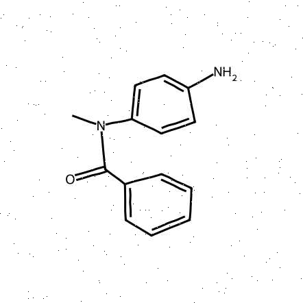 CN(C(=O)c1ccccc1)c1ccc(N)cc1